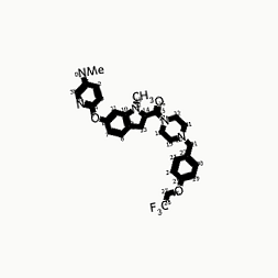 CNc1ccc(Oc2ccc3c(c2)N(C)C(C(=O)N2CCN(Cc4ccc(OCC(F)(F)F)cc4)CC2)C3)nc1